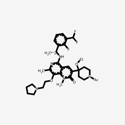 CCOC1(c2cc3c(N[C@H](C)c4cccc(C(F)F)c4F)nc(C)c(OCCN4CCCC4)c3n(C)c2=O)CCN(C(C)=O)CC1